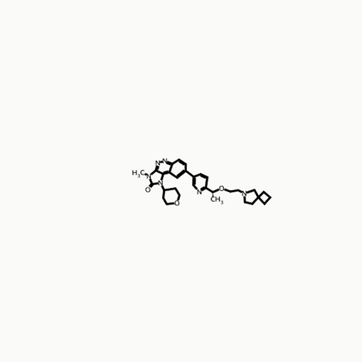 C[C@@H](OCCN1CCC2(CCC2)C1)c1ccc(-c2ccc3nnc4c(c3c2)n(C2CCOCC2)c(=O)n4C)cn1